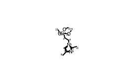 CO[Si](CCn1cc(C)nc1C)(OC)OC